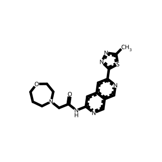 Cc1nnc(-c2cc3cc(NC(=O)CN4CCCOCC4)ncc3cn2)s1